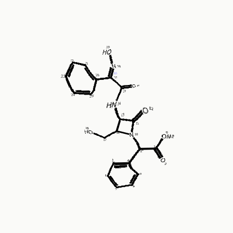 COC(=O)C(c1ccccc1)N1C(=O)C(NC(=O)/C(=N/O)c2ccccc2)C1CO